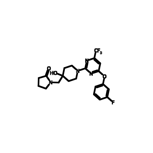 O=C1CCCN1CC1(O)CCN(c2nc(Oc3cccc(F)c3)cc(C(F)(F)F)n2)CC1